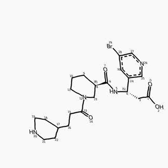 O=C(O)C[C@H](NC(=O)[C@@H]1CCCN(C(=O)CCC2CCNCC2)C1)c1cncc(Br)c1